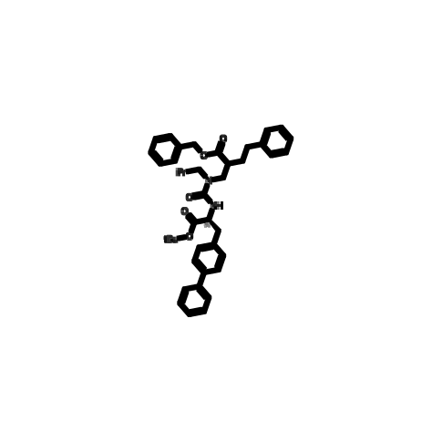 CC(C)CN(CC(CCc1ccccc1)C(=O)OCc1ccccc1)C(=O)N[C@@H](Cc1ccc(-c2ccccc2)cc1)C(=O)OC(C)(C)C